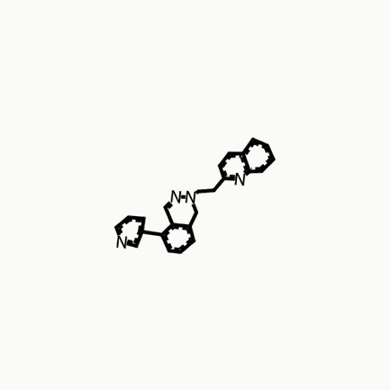 C1=NN(CCc2ccc3ccccc3n2)Cc2cccc(-c3cccnc3)c21